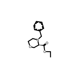 CCOC(=O)[C@H]1COCCN1Cc1ccccc1